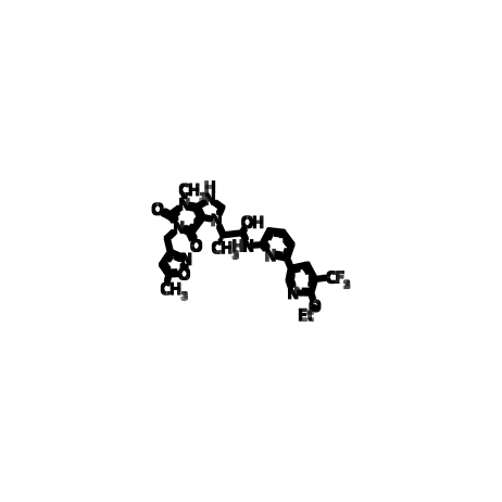 CCOc1ncc(-c2cccc(NC(O)[C@H](C)N3CNc4c3c(=O)n(Cc3cc(C)on3)c(=O)n4C)n2)cc1C(F)(F)F